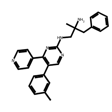 Cc1cccc(-c2cnc(NCC(C)(N)Cc3ccccc3)nc2-c2ccncc2)c1